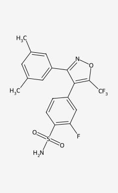 Cc1cc(C)cc(-c2noc(C(F)(F)F)c2-c2ccc(S(N)(=O)=O)c(F)c2)c1